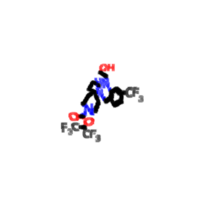 O=C(OC(C(F)(F)F)C(F)(F)F)N1CCC2(CCCN2Cc2ccc(C(F)(F)F)cc2NCCO)CC1